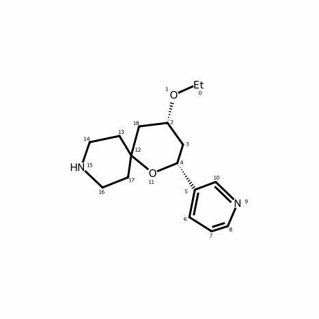 CCO[C@@H]1C[C@H](c2cccnc2)OC2(CCNCC2)C1